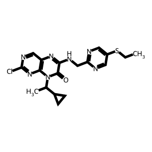 CCSc1cnc(CNc2nc3cnc(Cl)nc3n(C(C)C3CC3)c2=O)nc1